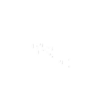 COC(=O)NC[C@H]1CN(c2cc(F)c3c(c2F)COC(=O)N3C)C(=O)O1